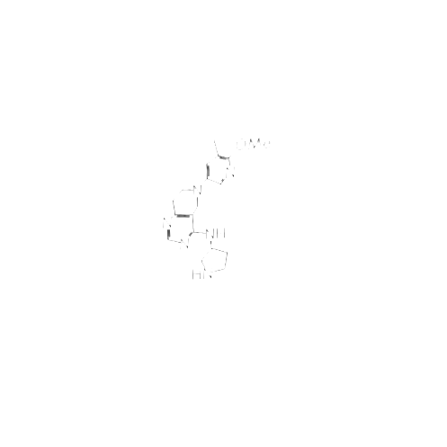 COc1ncc(N2CCc3ncnc(N[C@H]4CCNC4)c3C2)cc1C